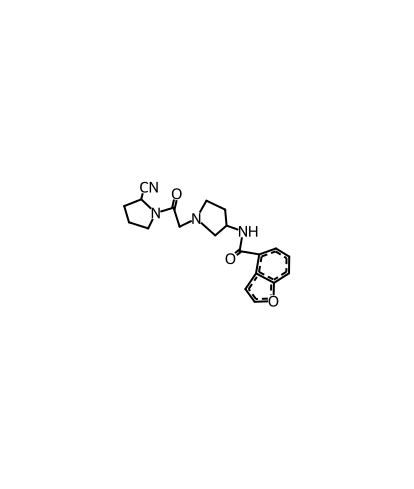 N#CC1CCCN1C(=O)CN1CCC(NC(=O)c2cccc3occc23)C1